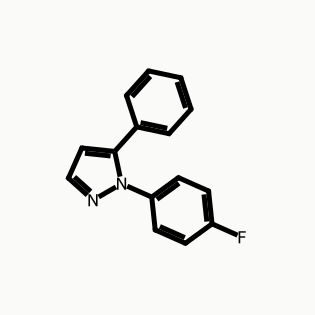 Fc1ccc(-n2nccc2-c2ccccc2)cc1